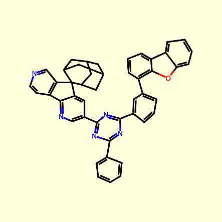 c1ccc(-c2nc(-c3cccc(-c4cccc5c4oc4ccccc45)c3)nc(-c3cnc4c(c3)C3(c5cnccc5-4)C4CC5CC(C4)CC3C5)n2)cc1